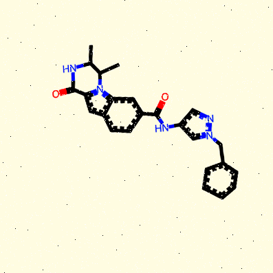 CC1NC(=O)c2cc3ccc(C(=O)Nc4cnn(Cc5ccccc5)c4)cc3n2C1C